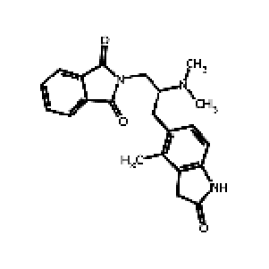 Cc1c(C[C@@H](CN2C(=O)c3ccccc3C2=O)N(C)C)ccc2c1CC(=O)N2